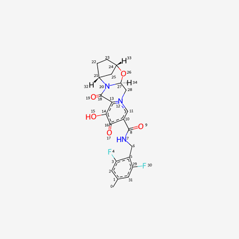 Cc1cc(F)c(CNC(=O)c2cn3c(c(O)c2=O)C(=O)N2[C@@H]4CC[C@@H](C4)O[C@H]2C3)c(F)c1